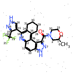 C[C@H]1CN(C(=O)c2n[nH]c3ccc4nc(-c5c[nH]nc5C(F)(F)F)c5c(c4c23)CCCC5)CCO1